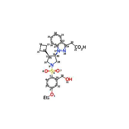 CCOc1ccc(S(=O)(=O)N2C[C@@H](C3CCC3)[C@@H](n3nc(CC(=O)O)c4ccccc43)C2)c(CO)c1